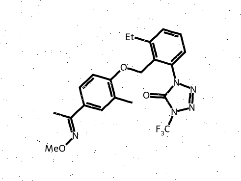 CCc1cccc(-n2nnn(C(F)(F)F)c2=O)c1COc1ccc(C(C)=NOC)cc1C